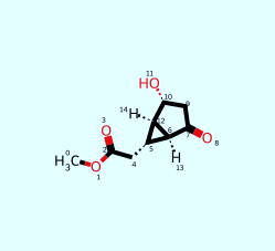 COC(=O)C[C@H]1[C@@H]2C(=O)C[C@@H](O)[C@H]12